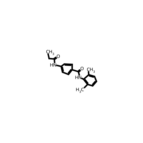 CCC(=O)Nc1ccc(C(=O)Nc2c(C)cccc2C)cc1